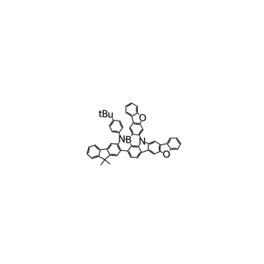 CC(C)(C)c1ccc(N2B3c4cc5c(cc4-n4c6cc7c(cc6c6ccc(c3c64)-c3cc4c(cc32)-c2ccccc2C4(C)C)oc2ccccc27)oc2ccccc25)cc1